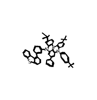 CC(C)(C)c1ccc(N2c3ccc(C(C)(C)C)cc3B3c4ccc(C(C)(C)C)cc4N(c4cccc(-c5cccc6sc7ccccc7c56)c4)c4cc(-c5ccccc5)cc2c43)cc1